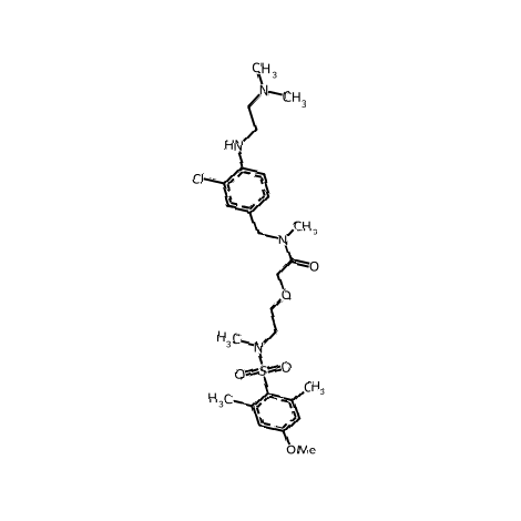 COc1cc(C)c(S(=O)(=O)N(C)CCOCC(=O)N(C)Cc2ccc(NCCN(C)C)c(Cl)c2)c(C)c1